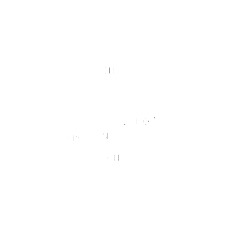 C=CC[N+](C)(CCC)C(C)=O.O.[Cl-]